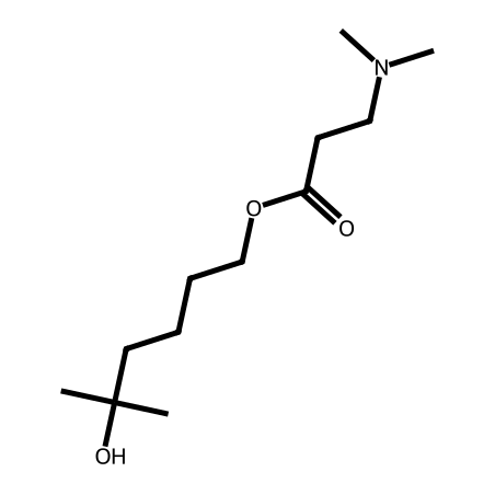 CN(C)CCC(=O)OCCCCC(C)(C)O